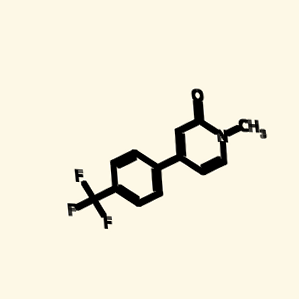 Cn1ccc(-c2ccc(C(F)(F)F)cc2)cc1=O